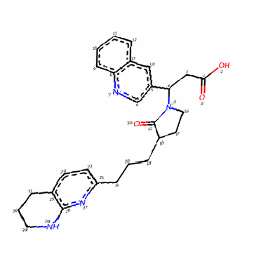 O=C(O)CC(c1cnc2ccccc2c1)N1CCC(CCCc2ccc3c(n2)NCCC3)C1=O